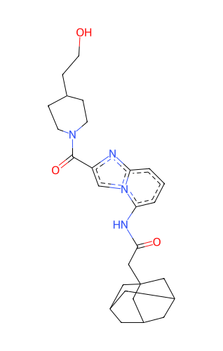 O=C(CC12CC3CC(CC(C3)C1)C2)Nc1cccc2nc(C(=O)N3CCC(CCO)CC3)cn12